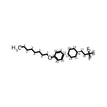 CCCCCCCCOc1ccc([C@H]2CC[C@H](CCC(F)(F)F)CC2)cc1